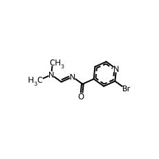 CN(C)/C=N/C(=O)c1ccnc(Br)c1